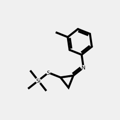 Cc1cccc(N=C2CC2S[Si](C)(C)C)c1